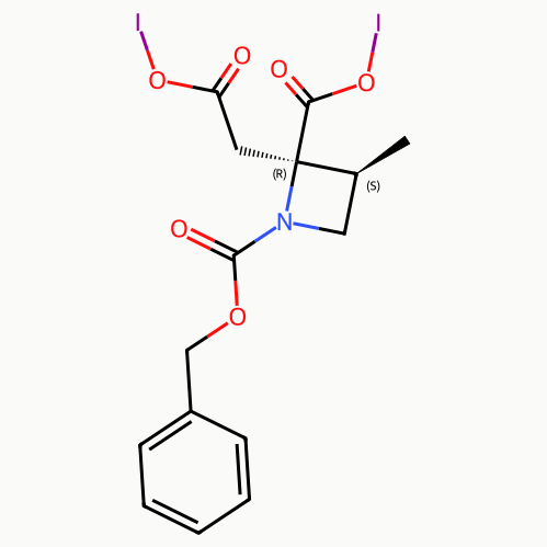 C[C@H]1CN(C(=O)OCc2ccccc2)[C@@]1(CC(=O)OI)C(=O)OI